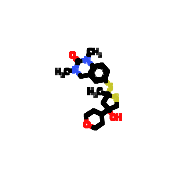 CN1Cc2cc(SC3(C)CC(O)(C4CCOCC4)CS3)ccc2N(C)C1=O